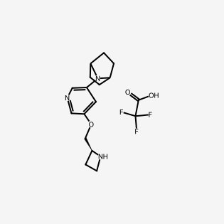 O=C(O)C(F)(F)F.c1ncc(N2C3CCC2CC3)cc1OC[C@@H]1CCN1